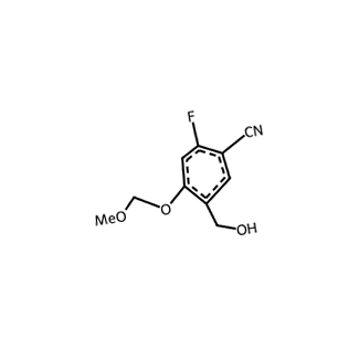 COCOc1cc(F)c(C#N)cc1CO